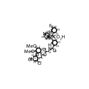 COc1ccc(C(Cc2c(Cl)c[n+]([O-])cc2Cl)OC(=O)CNC(=O)c2cccc(NC(C(=O)O)(c3cccc(F)c3)[C@H]3CN4CCC3CC4)c2)cc1OC